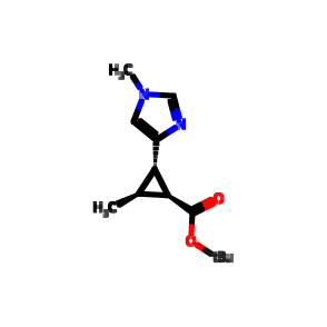 C[C@@H]1[C@H](C(=O)OC(C)(C)C)[C@H]1c1cn(C)cn1